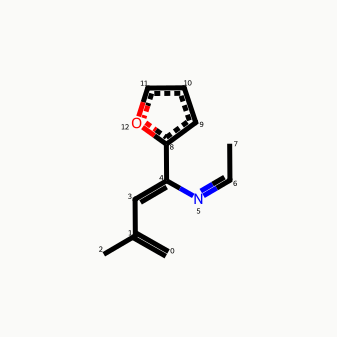 C=C(C)/C=C(\N=C/C)c1ccco1